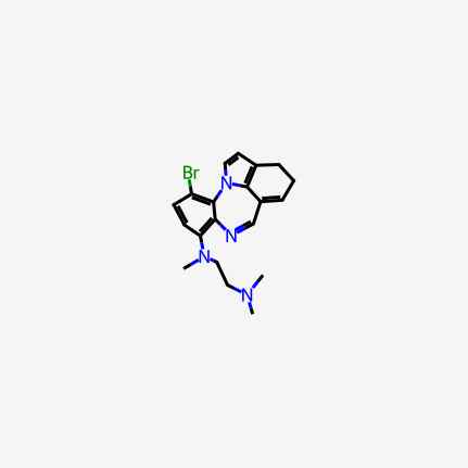 CN(C)CCN(C)c1ccc(Br)c2c1N=CC1=CCCc3ccn-2c31